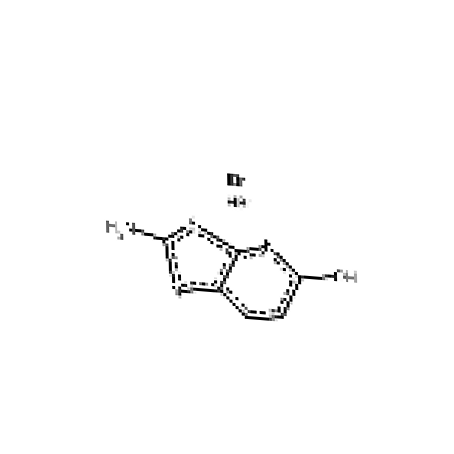 Br.Br.Nc1nc2ccc(O)nc2s1